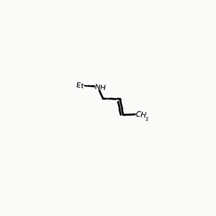 [CH2]CNCC=CC